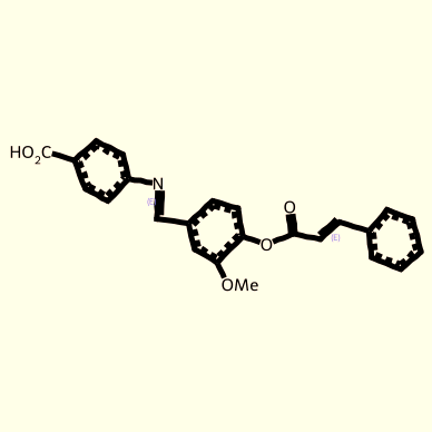 COc1cc(/C=N/c2ccc(C(=O)O)cc2)ccc1OC(=O)/C=C/c1ccccc1